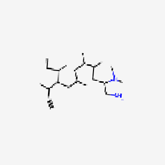 C#CC(C)C(CC(C)CC(C)C(C)CC(CN)N(C)C)C(C)CC